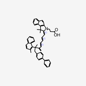 C=C(/C=C/C=C/C=C1/N(CCC(=O)O)c2ccc3ccccc3c2C1(C)C)C(C)(Cc1ccc(-c2ccccc2)cc1)c1c(C)ccc2ccccc12